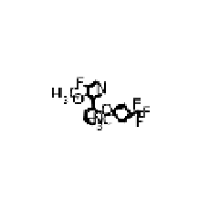 COc1c(F)cncc1-c1cccnc1OC1(C)C=CC(C(F)(F)F)=CC1